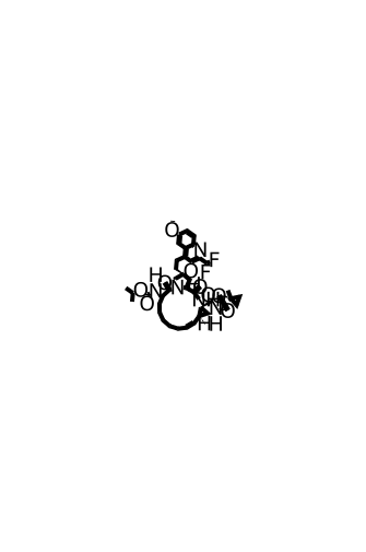 COc1ccc2nc(C(F)F)c3c(c2c1)CC[C@]1(C[C@H]2C(=O)N[C@]4(C(=O)NS(=O)(=O)C5(C)CC5)C[C@H]4/C=C\CCCCC[C@H](NC(=O)OC(C)C)C(=O)N2C1)O3